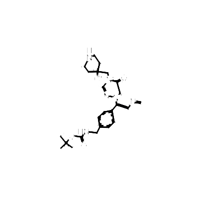 C=N/C=C(/c1ccc(CNC(=O)OC(C)(C)C)cc1)N1CC(=O)N(CC2(O)CCNCC2)C=N1